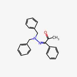 CC(=O)C(=NN(Cc1ccccc1)Cc1ccccc1)c1ccccc1